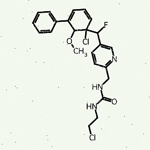 COC1C(c2ccccc2)=CC=CC1(Cl)C(F)c1ccc(CNC(=O)NCCCl)nc1